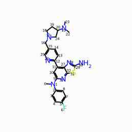 CN(c1ccc(F)cc1)c1cc(-c2ccc(CN3CCC(N(C)C)C3)cn2)c2nc(N)sc2n1